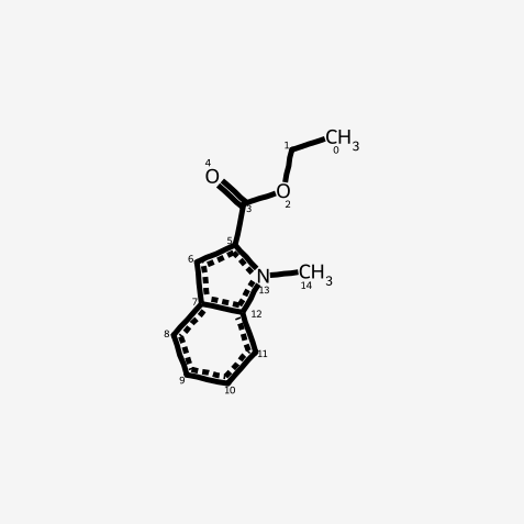 CCOC(=O)c1[c]c2ccccc2n1C